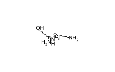 NCCCCc1csc(NC(N)=NCCCCCO)n1